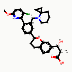 COc1ccc(F)c(-c2ccc(C3CCc4ccc([C@H](O)[C@H](C)C(=O)O)cc4O3)cc2CN2CCCCC23CC3)n1